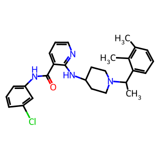 Cc1cccc(C(C)N2CCC(Nc3ncccc3C(=O)Nc3cccc(Cl)c3)CC2)c1C